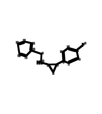 Fc1ccc(C2CC2NCc2ccccc2)cc1